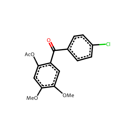 COc1cc(OC(C)=O)c(C(=O)c2ccc(Cl)cc2)cc1OC